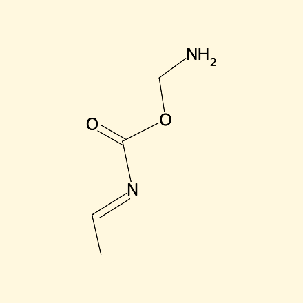 CC=NC(=O)OCN